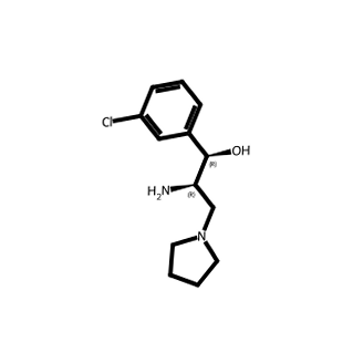 N[C@H](CN1CCCC1)[C@H](O)c1cccc(Cl)c1